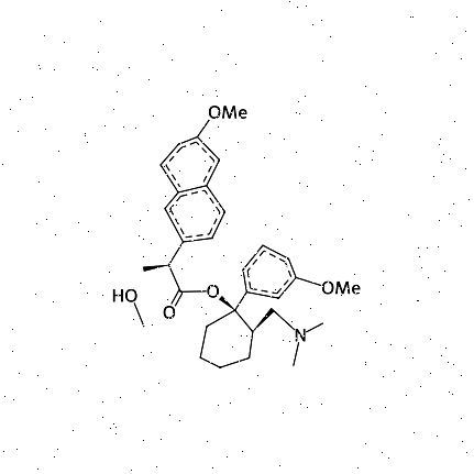 CO.COc1cccc([C@@]2(OC(=O)[C@@H](C)c3ccc4cc(OC)ccc4c3)CCCC[C@@H]2CN(C)C)c1